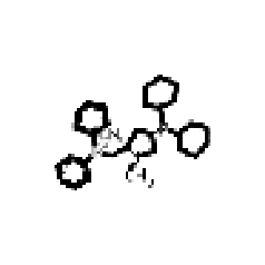 CN1C[C@H](P(C2CCCCC2)C2CCCCC2)C[C@]1(N)CP(c1ccccc1)c1ccccc1